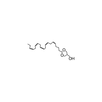 CC/C=C\C/C=C\C/C=C\C/C=C\C/C=C\CCCC1OCC(CO)CO1